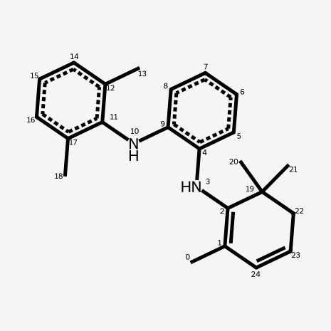 CC1=C(Nc2ccccc2Nc2c(C)cccc2C)C(C)(C)CC=C1